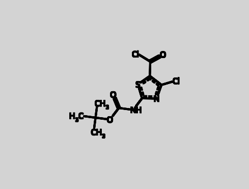 CC(C)(C)OC(=O)Nc1nc(Cl)c(C(=O)Cl)s1